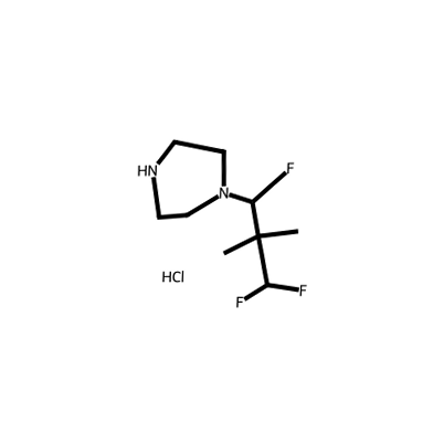 CC(C)(C(F)F)C(F)N1CCNCC1.Cl